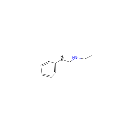 CCNC[SiH2]c1ccccc1